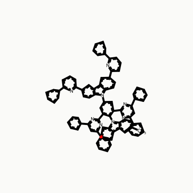 Cc1ccc2c(c1)c1ccccc1n2-c1c(-c2nc(-c3ccccc3)cc(-c3ccccc3)n2)cc(-n2c3ccc(-c4cccc(-c5ccccc5)n4)cc3c3cc(-c4cccc(-c5ccccc5)n4)ccc32)cc1-c1nc(-c2ccccc2)cc(-c2ccccc2)n1